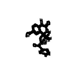 O=C1Nc2ccc(Cl)cc2C(CNC(=O)c2cnsn2)(C(F)(F)F)O1